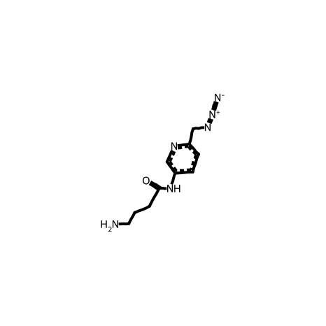 [N-]=[N+]=NCc1ccc(NC(=O)CCCN)cn1